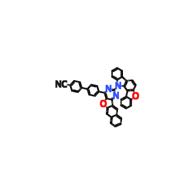 N#Cc1ccc(-c2ccc(-c3nc(-n4c5ccccc5c5ccc6oc7ccccc7c6c54)nc4c3oc3cc5ccccc5cc34)cc2)cc1